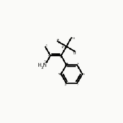 CC(N)=C(c1ccccc1)C(C)(C)C